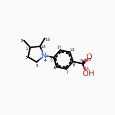 CC1CCN(c2ccc(C(=O)O)cc2)C1C